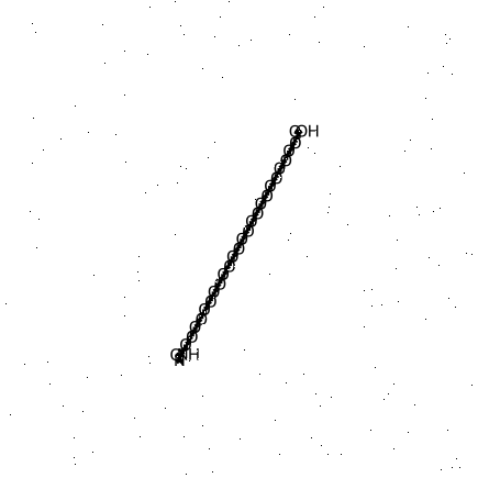 CN(C)C(=O)NCCOCCOCCOCCOCCOCCOCCOCCOCCOCCOCCOCCOCCOCCOCCOCCOCCOCCOCCOCCOCCOCCOCCOCCOCCC(=O)O